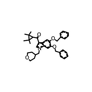 CC1(C)C(C(=O)c2cn(CC3CCOCC3)c3cc(OCc4ccccc4)c(OCc4ccccc4)cc23)C1(C)C